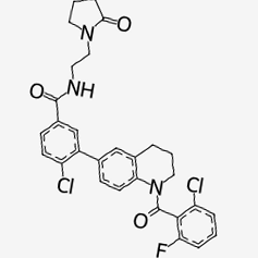 O=C(NCCN1CCCC1=O)c1ccc(Cl)c(-c2ccc3c(c2)CCCN3C(=O)c2c(F)cccc2Cl)c1